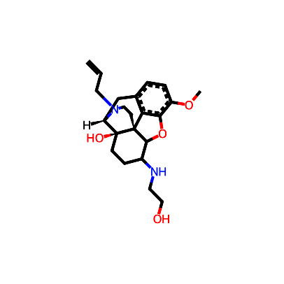 C=CCN1CC[C@@]23c4c5ccc(OC)c4OC2C(NCCO)CC[C@]3(O)[C@@H]1C5